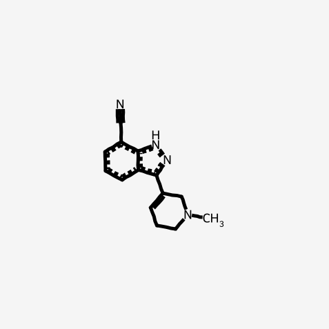 CN1CCC=C(c2n[nH]c3c(C#N)cccc23)C1